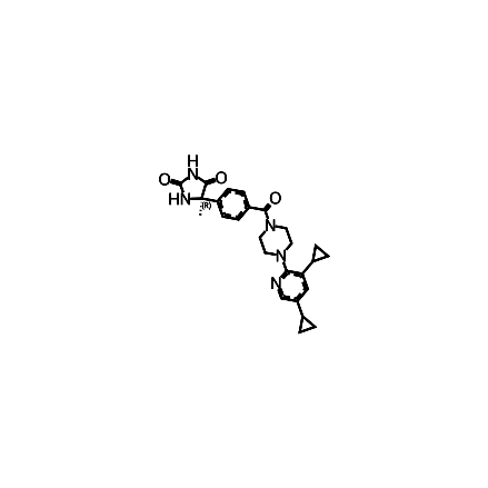 C[C@]1(c2ccc(C(=O)N3CCN(c4ncc(C5CC5)cc4C4CC4)CC3)cc2)NC(=O)NC1=O